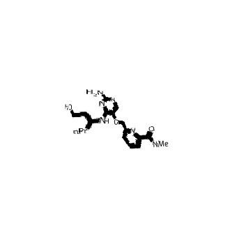 CCCC(CCO)Nc1nc(N)ncc1OCc1cccc(C(=O)NC)n1